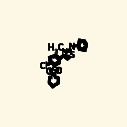 Cn1c(-c2ccc(Cl)c(S(=O)(=O)N3CCCCC3)c2)csc1=Nc1ccccc1